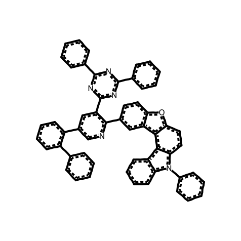 c1ccc(-c2nc(-c3ccccc3)nc(-c3cc(-c4ccccc4-c4ccccc4)cnc3-c3ccc4oc5ccc6c(c7ccccc7n6-c6ccccc6)c5c4c3)n2)cc1